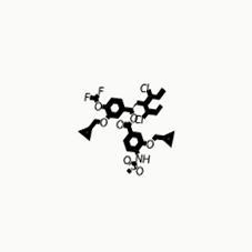 C=C/C(Cl)=C(C[C@H](OC(=O)c1ccc(NS(C)(=O)=O)c(OCC2CC2)c1)c1ccc(OC(F)F)c(OCC2CC2)c1)\C(Cl)=C/C